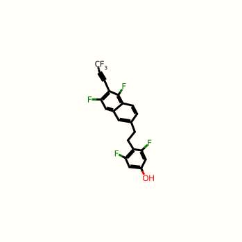 Oc1cc(F)c(CCc2ccc3c(F)c(C#CC(F)(F)F)c(F)cc3c2)c(F)c1